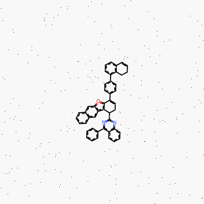 C1=Cc2cccc(-c3ccc(C4=CCC(c5nc(-c6ccccc6)c6ccccc6n5)c5c4oc4cc6ccccc6cc54)cc3)c2CC1